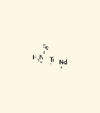 N.[Fe].[Nd].[Ti]